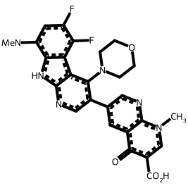 CNc1cc(F)c(F)c2c1[nH]c1ncc(-c3cnc4c(c3)c(=O)c(C(=O)O)cn4C)c(N3CCOCC3)c12